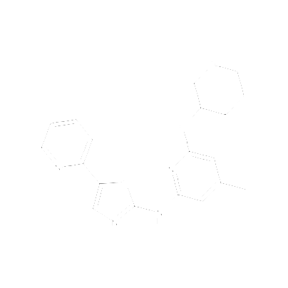 Cc1cc(Nc2ncc(-c3ccccn3)s2)nc(OC2CCCOC2)c1